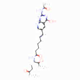 COC(=O)CC[C@H](NC(=O)CCCC/C=C/c1cnc2nc(NC(=O)C(C)(C)C)nc(O)c2c1)C(=O)OC